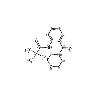 CC(C)(C)C(=O)Nc1ccccc1C(=O)N1CCOCC1